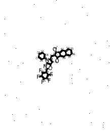 O=C1C(=Cc2cc3oc(-c4c(F)c(F)c(F)c(F)c4F)nc3n2-c2ccccc2)C(=O)c2cc3ccccc3cc21